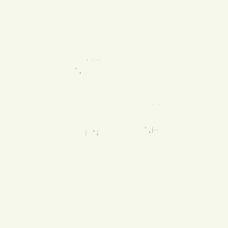 O=C1Cc2c([nH]c3ccc(NO)cc23)-c2ccccc2N1